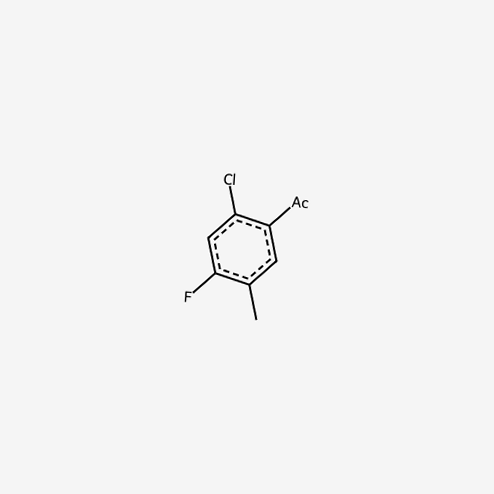 CC(=O)c1cc(C)c(F)cc1Cl